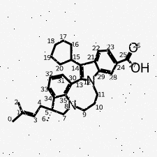 CC(C)=CC[C@]1(C)CN2CCCn3c(c(C4CCCCC4)c4ccc(C(=O)O)cc43)-c3cccc1c32